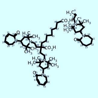 C=CCN1C(C)(C)CC(N2CCCCCC2=O)CC1(C)C.CC1(C)CC(N2CC=CC=CC2=O)CC(C)(C)N1CCC(CCCCCCCC(=O)O)(CCN1C(C)(C)CC(N2CC=CC=CC2=O)CC1(C)C)C(=O)O